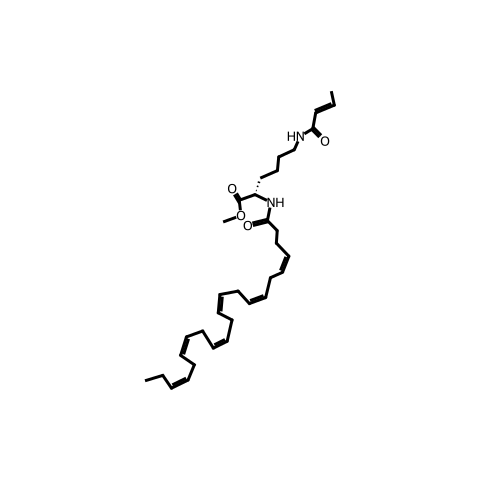 C/C=C/C(=O)NCCCC[C@H](NC(=O)CC/C=C\C/C=C\C/C=C\C/C=C\C/C=C\C/C=C\CC)C(=O)OC